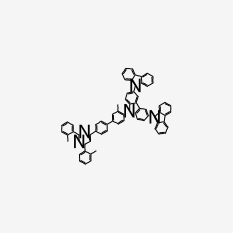 Cc1ccccc1-c1cc(-c2ccc(-c3ccc(-n4c5ccc(-n6c7ccccc7c7ccccc76)cc5c5cc(-n6c7ccccc7c7ccccc76)ccc54)c(C)c3)cc2)nc(-c2ccccc2C)n1